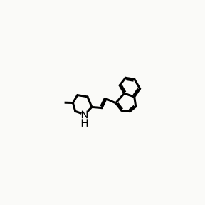 CC1CCC(C=Cc2cccc3ccccc23)NC1